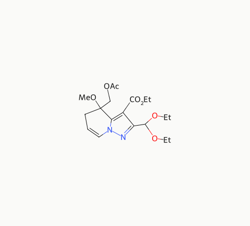 CCOC(=O)c1c(C(OCC)OCC)nn2c1C(COC(C)=O)(OC)CC=C2